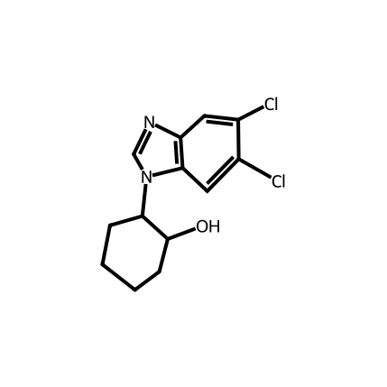 OC1CCCCC1n1cnc2cc(Cl)c(Cl)cc21